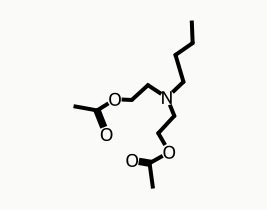 CCCCN(CCOC(C)=O)CCOC(C)=O